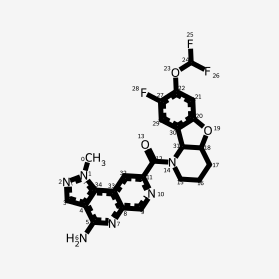 Cn1ncc2c(N)nc3cnc(C(=O)N4CCCC5Oc6cc(OC(F)F)c(F)cc6C54)cc3c21